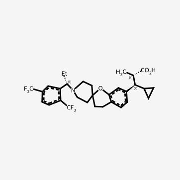 CC[C@@H](c1cc(C(F)(F)F)ccc1C(F)(F)F)N1CCC2(CCc3ccc([C@H](C4CC4)[C@H](C)C(=O)O)cc3O2)CC1